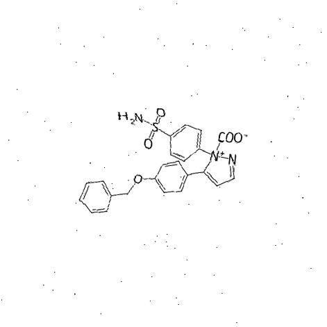 NS(=O)(=O)c1ccc([N+]2(C(=O)[O-])N=CC=C2c2ccc(OCc3ccccc3)cc2)cc1